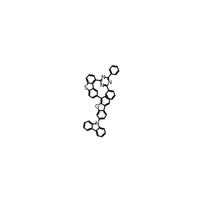 c1ccc(-c2nc(-c3ccccc3)nc(-c3cccc4sc5ccc(-c6cccc7c6oc6cc(-n8c9ccccc9c9ccccc98)ccc67)cc5c34)n2)cc1